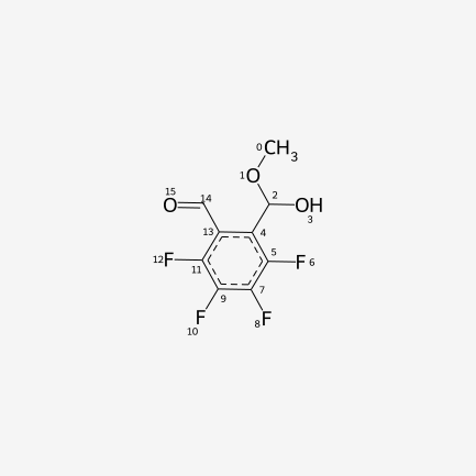 COC(O)c1c(F)c(F)c(F)c(F)c1C=O